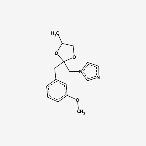 COc1cccc(CC2(Cn3ccnc3)OCC(C)O2)c1